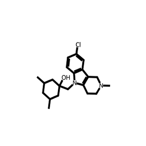 CC1CC(C)CC(O)(Cn2c3c(c4cc(Cl)ccc42)CN(C)CC3)C1